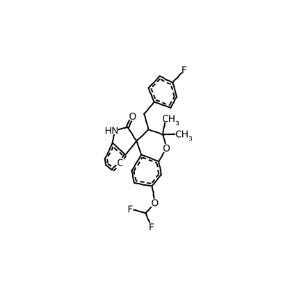 CC1(C)Oc2cc(OC(F)F)ccc2C2(C(=O)Nc3ccccc32)C1Cc1ccc(F)cc1